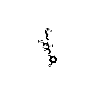 NCCCC[C@H](NC(=O)COc1cccc(Cl)c1)C(=O)O